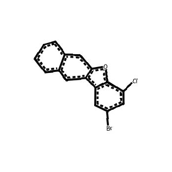 Clc1cc(Br)cc2c1oc1cc3ccccc3cc12